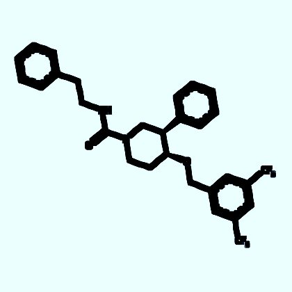 O=C(NCCc1ccccc1)N1CC[C@H](OCc2cc(C(F)(F)F)cc(C(F)(F)F)c2)[C@H](c2ccccc2)C1